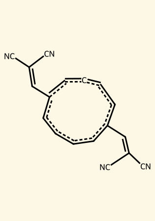 N#CC(C#N)=Cc1ccccc(C=C(C#N)C#N)cccc1